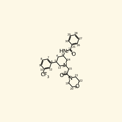 O=C(NC1CC(c2cccc(C(F)(F)F)c2)CN(CC(=O)N2CCOCC2)C1)c1ccccc1